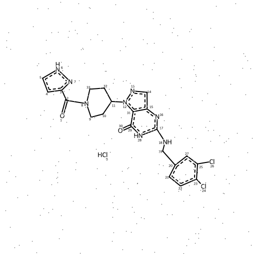 Cl.O=C(c1cc[nH]n1)N1CCC(n2ncc3nc(NCc4ccc(Cl)c(Cl)c4)[nH]c(=O)c32)CC1